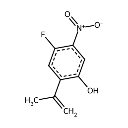 C=C(C)c1cc(F)c([N+](=O)[O-])cc1O